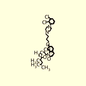 CC(C)CC(C)C(=O)OC(C(C)C)n1c(=O)ccc2ccc(OCCCCN3CCN(c4cccc(Cl)c4Cl)CC3)cc21